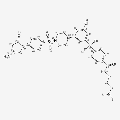 CN(C)CCCNC(=O)c1cnc(C(F)(F)c2cc(Cl)nc(N3CCN(S(=O)(=O)c4ccc(N5C[C@H](N)CC5=O)cc4)CC3)c2)cn1